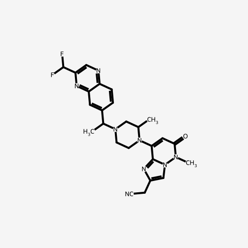 CC(c1ccc2ncc(C(F)F)nc2c1)N1CCN(c2cc(=O)n(C)n3cc(CC#N)nc23)C(C)C1